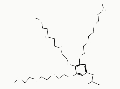 COCCOCCOCCOc1cc(CC(C)C)cc(OCCOCCOCCOC)c1OCCOCCOCCOC